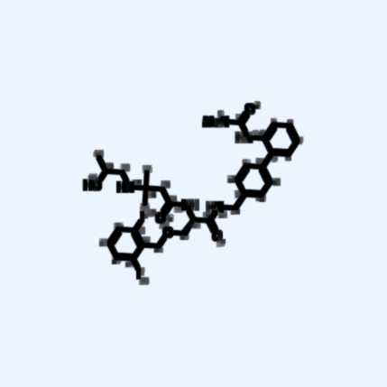 CNC(=O)Nc1ccccc1-c1ccc(CNC(=O)[C@@H](COCc2c(F)cccc2F)NC(=O)CC(C)(C)NCC(C)O)cc1